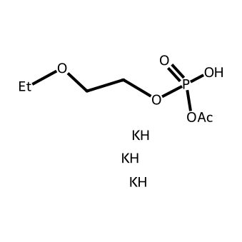 CCOCCOP(=O)(O)OC(C)=O.[KH].[KH].[KH]